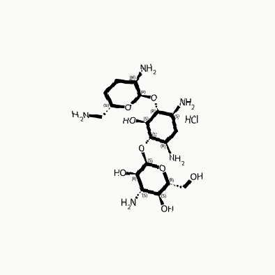 Cl.NC[C@@H]1CC[C@@H](N)[C@@H](O[C@H]2[C@H](O)[C@@H](O[C@H]3O[C@H](CO)[C@@H](O)[C@H](N)[C@H]3O)[C@H](N)C[C@@H]2N)O1